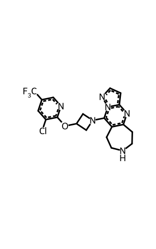 FC(F)(F)c1cnc(OC2CN(c3c4c(nc5ccnn35)CCNCC4)C2)c(Cl)c1